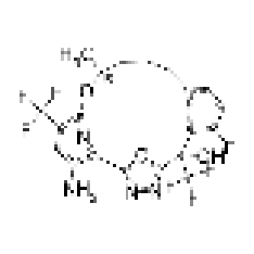 C[C@@H]1CCCc2ccc(F)c(c2)C(O)(C(F)(F)F)c2nnc(o2)-c2nc(c(C(F)(F)F)cc2N)O1